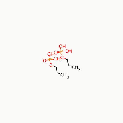 CCCOP(=O)(O)O.CCCOP(=O)(O)O